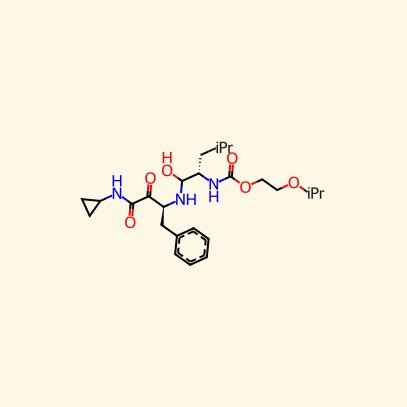 CC(C)C[C@H](NC(=O)OCCOC(C)C)C(O)N[C@@H](Cc1ccccc1)C(=O)C(=O)NC1CC1